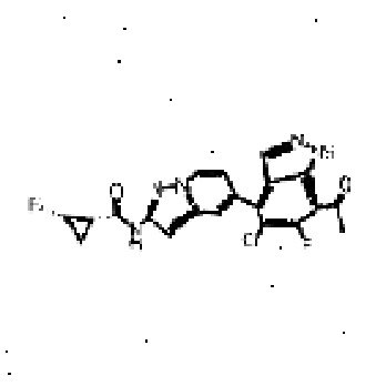 CC(=O)c1c(F)c(Cl)c(-c2ccn3nc(NC(=O)[C@@H]4C[C@@H]4F)cc3c2)c2cn[nH]c12